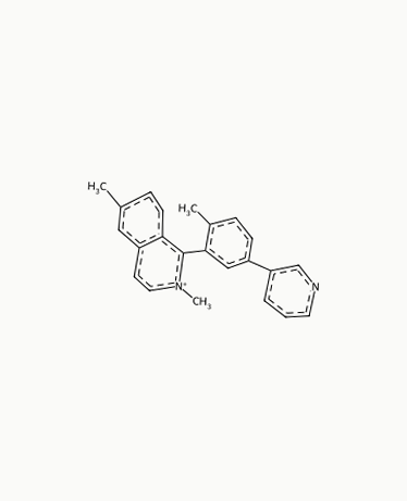 Cc1ccc2c(-c3cc(-c4cccnc4)ccc3C)[n+](C)ccc2c1